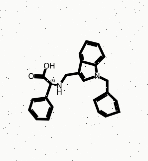 O=C(O)[C@@H](NCc1cn(Cc2ccccc2)c2ccccc12)c1ccccc1